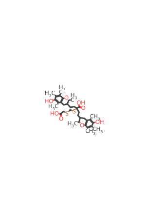 Cc1c(C)c2c(c(C)c1O)CC(CCC(CCC1Cc3c(C)c(O)c(C)c(C)c3OC1C)(SCSCC(=O)O)C(=O)O)C(C)O2